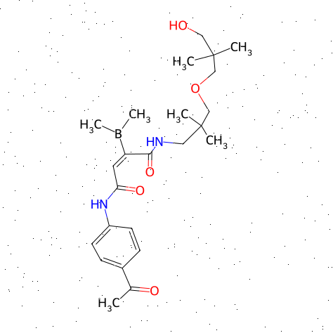 CB(C)/C(=C/C(=O)Nc1ccc(C(C)=O)cc1)C(=O)NCC(C)(C)COCC(C)(C)CO